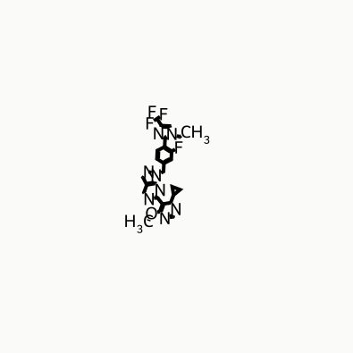 CCn1cc(C(F)(F)F)nc1-c1ccc(Cn2ncc3cnc(-c4c(OC)ncnc4C4CC4)nc32)cc1F